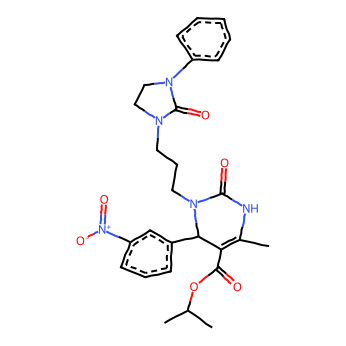 CC1=C(C(=O)OC(C)C)C(c2cccc([N+](=O)[O-])c2)N(CCCN2CCN(c3ccccc3)C2=O)C(=O)N1